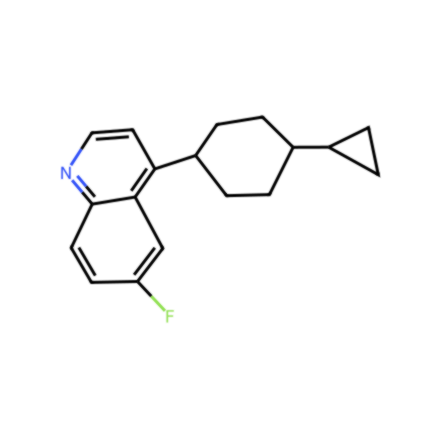 Fc1ccc2nccc(C3CCC(C4CC4)CC3)c2c1